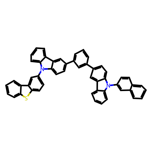 c1cc(-c2ccc3c(c2)c2ccccc2n3-c2ccc3ccccc3c2)cc(-c2ccc3c(c2)c2ccccc2n3-c2ccc3sc4ccccc4c3c2)c1